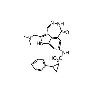 CN(C)Cc1[nH]c2cc(NC(=O)O)cc3c2c1C=NNC3=O.c1ccc(C2CC2)cc1